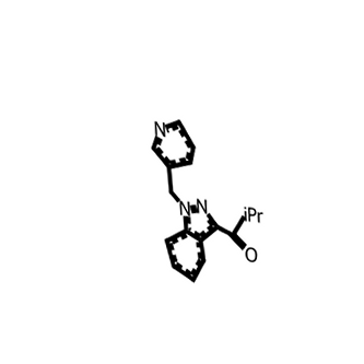 CC(C)C(=O)c1nn(Cc2cccnc2)c2ccccc12